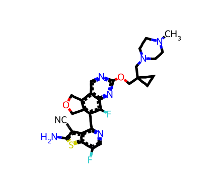 CN1CCN(CC2(COc3ncc4c5c(c(-c6ncc(F)c7sc(N)c(C#N)c67)c(F)c4n3)COC5)CC2)CC1